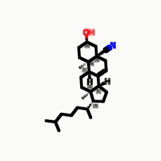 CC(C)CCCC(C)[C@H]1CC[C@H]2C3=CC[C@@]4(C#N)C[C@H](O)CC[C@]4(C)[C@H]3CC[C@]12C